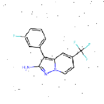 Nc1nn2ccc(C(F)(F)F)cc2c1-c1cccc(F)c1